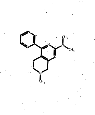 CN1CCc2c(nc(N(C)C)nc2-c2ccccc2)C1